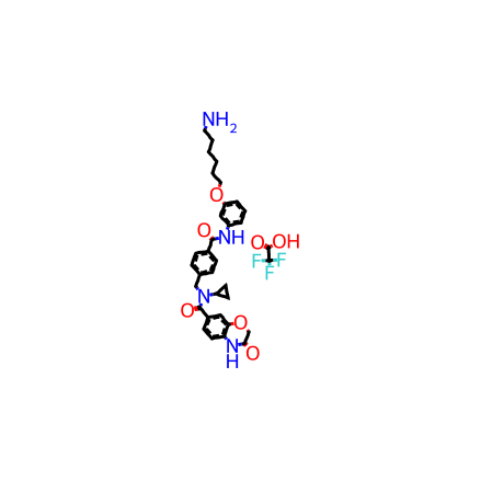 NCCCCCCOc1cccc(NC(=O)c2ccc(CN(C(=O)c3ccc4c(c3)OCC(=O)N4)C3CC3)cc2)c1.O=C(O)C(F)(F)F